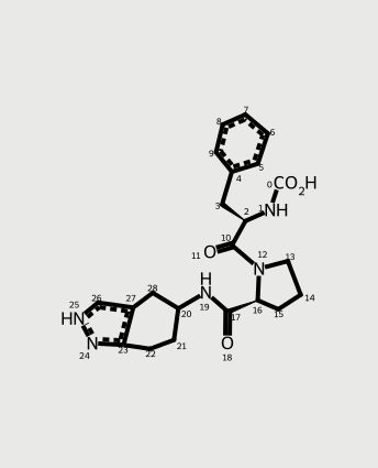 O=C(O)N[C@H](Cc1ccccc1)C(=O)N1CCC[C@H]1C(=O)NC1CCc2n[nH]cc2C1